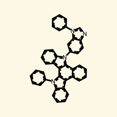 c1ccc(-n2cnc3ccc(-n4c5ccccc5c5c4c4ccccc4c4c6ccccc6n(-c6ccccc6)c45)cc32)cc1